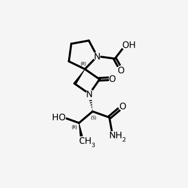 C[C@@H](O)[C@@H](C(N)=O)N1C[C@]2(CCCN2C(=O)O)C1=O